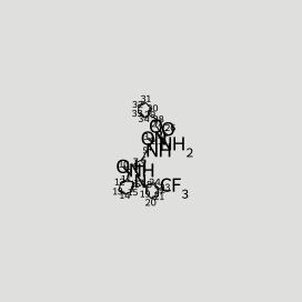 NN(C(=O)NCCCNC(=O)c1ccccc1Nc1cccc(C(F)(F)F)c1)C(=O)OCc1ccccc1